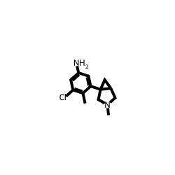 Cc1c(Cl)cc(N)cc1C12CC1CN(C)C2